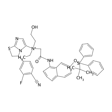 CC[N+](CCO)(CC(=O)Nc1cccc2ccc(O[Si](c3ccccc3)(c3ccccc3)C(C)(C)C)cc12)c1cnc2n1C(c1ccc(C#N)c(F)c1)CS2